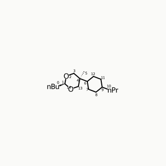 CCCC[C@H]1OC[C@@](C)(C2CCC(CCC)CC2)CO1